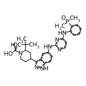 CC(C)(C)C1CC(c2n[nH]c3ccc(Nc4nccc(Nc5ccccc5P(C)(C)=O)n4)cc23)CCN1C(=O)O